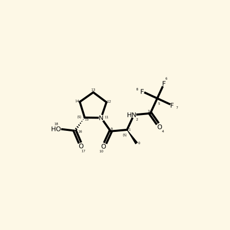 C[C@H](NC(=O)C(F)(F)F)C(=O)N1CCC[C@H]1C(=O)O